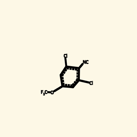 [C-]#[N+]c1c(Cl)cc(OC(F)(F)F)cc1Cl